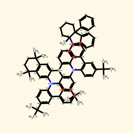 CC(C)(C)c1ccc(N2c3cc(N4c5ccccc5C5(c6ccccc6)CCCCC45C)ccc3B3c4cc5c(cc4N(c4ccc(C(C)(C)C)cc4-c4ccccc4)c4cc(C(C)(C)C)cc2c43)C(C)(C)CCC5(C)C)c(-c2ccccc2)c1